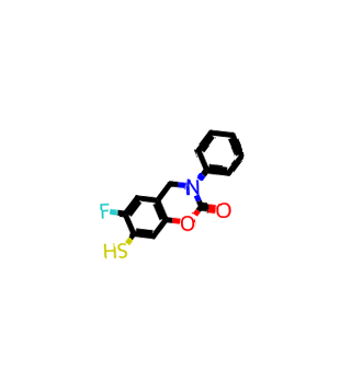 O=C1Oc2cc(S)c(F)cc2CN1c1ccccc1